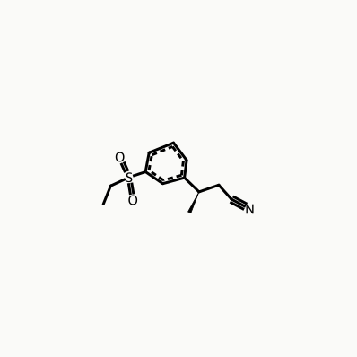 CCS(=O)(=O)c1cccc([C@H](C)CC#N)c1